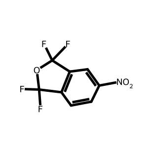 O=[N+]([O-])c1ccc2c(c1)C(F)(F)OC2(F)F